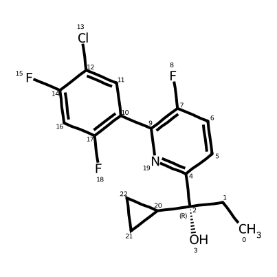 CC[C@](O)(c1ccc(F)c(-c2cc(Cl)c(F)cc2F)n1)C1CC1